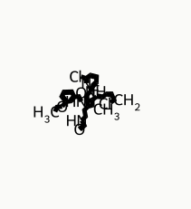 C=C(Cl)/C=C\C=C(/F)C1[C@H](C)C(CCNC=O)C1(NCc1cccc(OCC)c1)C(=O)Nc1cccc(Cl)n1